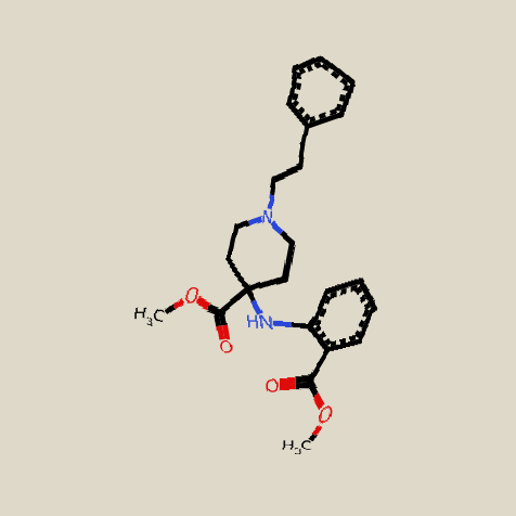 COC(=O)c1ccccc1NC1(C(=O)OC)CCN(CCc2ccccc2)CC1